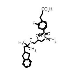 CN(C[C@H](O)CNC(C)(C)CC1Cc2ccccc2C1)S(=O)(=O)c1ccc(CCC(=O)O)c(F)c1